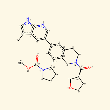 Cc1c[nH]c2ncc(-c3cc4c(c([C@@H]5CCCN5C(=O)OC(C)(C)C)c3)CN(C(=O)[C@H]3CCOC3)CC4)cc12